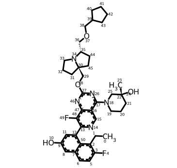 CCc1c(F)ccc2cc(O)cc(-c3ncc4c(N5CCC[C@@](C)(O)C5)nc(OC[C@@]56CCCN5[C@H](COCC5CCCC5)CC6)nc4c3F)c12